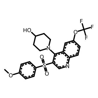 COc1ccc(S(=O)(=O)c2cnc3ccc(OC(F)(F)F)cc3c2N2CCC(O)CC2)cc1